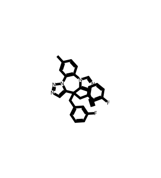 C#Cc1ncn2c1C(Cc1cccc(F)c1)(Cc1cccc(F)c1)c1cnnn1-c1cc(C)ccc1-2